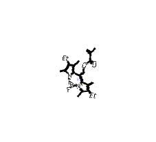 C=C(C)C(=O)OC/C(=C1\C(C)=C(CC)C(C)=[N+]1B(F)F)c1c(C)c(CC)c(C)n1C